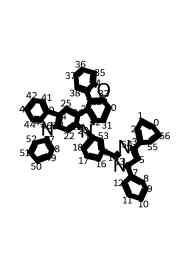 c1ccc(-c2cc(-c3ccccc3)nc(-c3cccc(-n4c5cc6c(cc5c5c7c(ccc54)oc4ccccc47)c4ccccc4n6-c4ccccc4)c3)n2)cc1